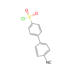 [C-]#[N+]c1ccc(-c2ccc(S(=O)(=O)Cl)cc2)cc1